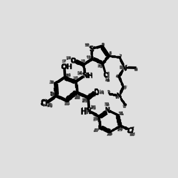 CN(C)CCN(C)Cc1csc(C(=O)Nc2c(O)cc(Cl)cc2C(=O)Nc2ccc(Cl)cn2)c1Cl